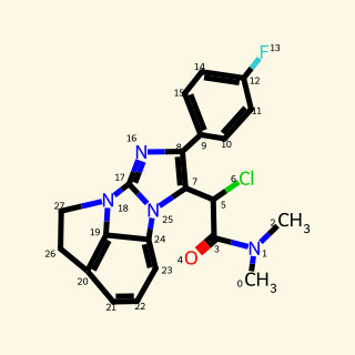 CN(C)C(=O)C(Cl)c1c(-c2ccc(F)cc2)nc2n3c4c(cccc4n12)CC3